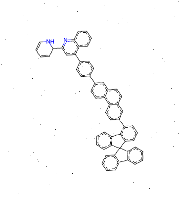 C1=CNC(c2cc(-c3ccc(-c4ccc5c(ccc6cc(-c7cccc8c7-c7ccccc7C87c8ccccc8-c8ccccc87)ccc65)c4)cc3)c3ccccc3n2)C=C1